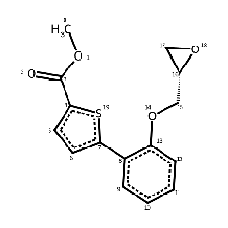 COC(=O)c1ccc(-c2ccccc2OC[C@@H]2CO2)s1